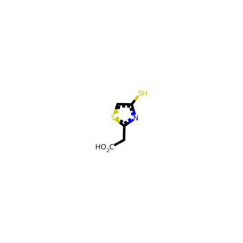 O=C(O)Cc1nc(S)cs1